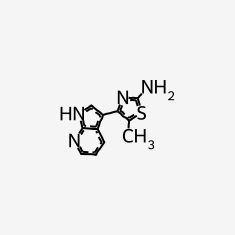 Cc1sc(N)nc1-c1c[nH]c2ncccc12